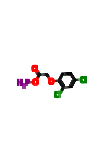 O=C(COc1ccc(Cl)cc1Cl)OP